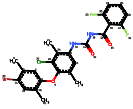 Cc1cc(Oc2c(C)cc(NC(=O)NC(=O)c3c(F)cccc3F)c(C)c2Cl)c(C)cc1Br